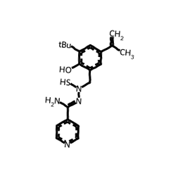 C=C(C)c1cc(CN(S)/N=C(\N)c2ccncc2)c(O)c(C(C)(C)C)c1